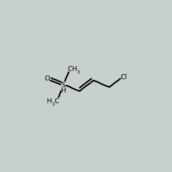 C[SH](C)(=O)C=CCCl